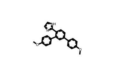 COc1ccc(-c2ccc(-c3ncc[nH]3)c(-c3ccc(OC)cc3)c2)cc1